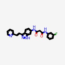 O=C(CC(=O)Nc1ccc2c(C=Cc3ccccn3)n[nH]c2c1)Nc1cccc(F)c1